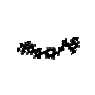 CC(C)c1ccc(F)cc1N1CS/C1=N\N=C\c1ccc(-c2ncn(-c3ccc(C(F)(C(F)(F)F)C(F)(F)F)cc3)n2)cc1